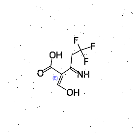 N=C(CC(F)(F)F)/C(=C\O)C(=O)O